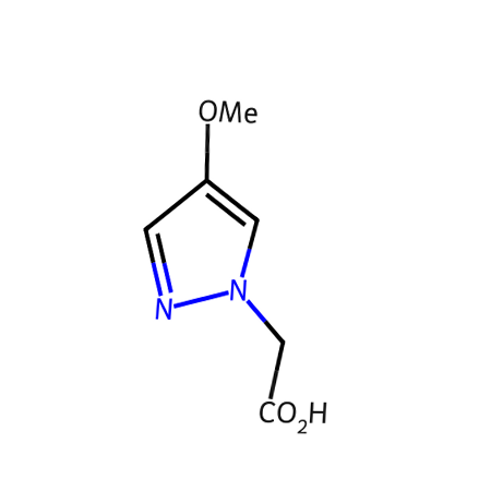 COc1cnn(CC(=O)O)c1